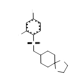 O=S(=O)(CC1CCC2(CC1)OCCO2)c1ccc(Br)cc1C(F)(F)F